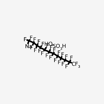 FC(F)(F)C(F)(F)C(F)(F)C(F)(F)C(F)(F)C(F)(F)C(F)(F)C(F)(F)C(F)(F)C(F)(F)C(F)(F)[C](F)(F)[Na].O=S(=O)(O)O